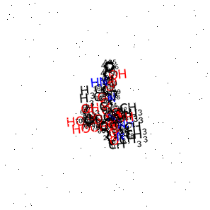 C#CCC(OC(=O)N(C)[C@H](C(=O)N[C@H](C(=O)N(C)[C@@H](C(C)CC)[C@@H](CC(=O)N1CCC[C@H]1[C@H](OC)[C@@H](C)C(=O)NC(Cc1ccccc1)C(=O)O)OC)C(C)C)C(C)C)c1ccc(O[C@@H]2O[C@H](CO)[C@H](O)[C@H](O)[C@H]2O)c2cc(C(=O)O)oc12